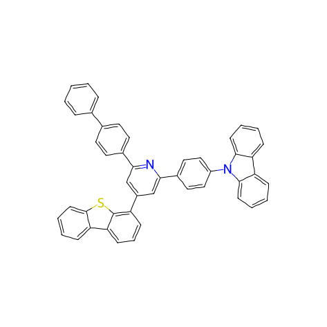 c1ccc(-c2ccc(-c3cc(-c4cccc5c4sc4ccccc45)cc(-c4ccc(-n5c6ccccc6c6ccccc65)cc4)n3)cc2)cc1